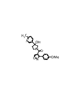 COc1ccc(-c2nocc2C(=O)N2CCC(O)(c3ccc(C)nc3)C2)cc1